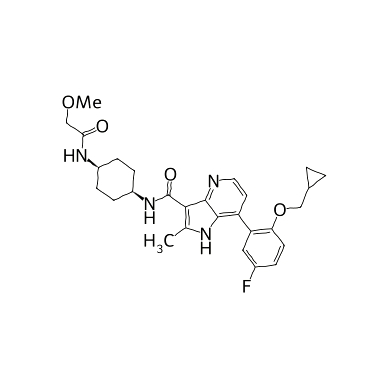 COCC(=O)N[C@H]1CC[C@@H](NC(=O)c2c(C)[nH]c3c(-c4cc(F)ccc4OCC4CC4)ccnc23)CC1